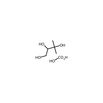 CC(C)(O)C(O)CO.O=C(O)O